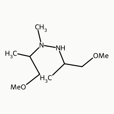 COCC(C)NN(C)C(C)COC